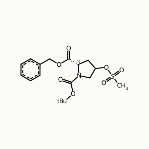 CC(C)(C)OC(=O)N1CC(OS(C)(=O)=O)C[C@H]1C(=O)OCc1ccccc1